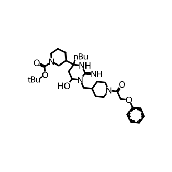 CCCCC1(C2CCCN(C(=O)OC(C)(C)C)C2)CC(O)N(CC2CCN(C(=O)COc3ccccc3)CC2)C(=N)N1